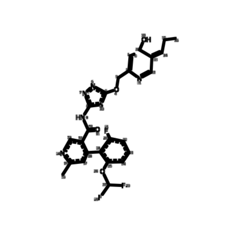 C\C=C(COc1nnc(NC(=O)c2cnc(C)cc2-c2c(F)cccc2OC(F)F)s1)/N=C\C(=C\CC)CO